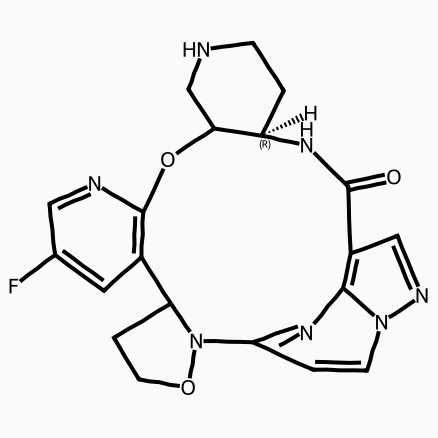 O=C1N[C@@H]2CCNCC2Oc2ncc(F)cc2C2CCON2c2ccn3ncc1c3n2